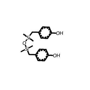 C[Si](C)(Cc1ccc(O)cc1)O[Si](C)(C)Cc1ccc(O)cc1